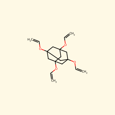 C=COC12CC3(OC=C)CC(OC=C)(C1)CC(OC=C)(C2)C3